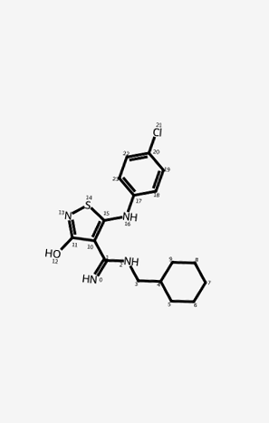 N=C(NCC1CCCCC1)c1c(O)nsc1Nc1ccc(Cl)cc1